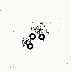 CC1(C)OC(=O)N(C2CCC(N3C(=O)C(F)(F)c4ccccc43)CC2)[C@H]1c1ccccc1